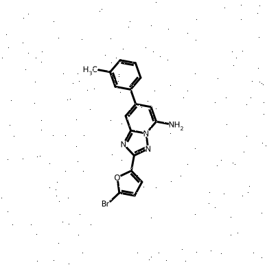 Cc1cccc(-c2cc(N)n3nc(-c4ccc(Br)o4)nc3c2)c1